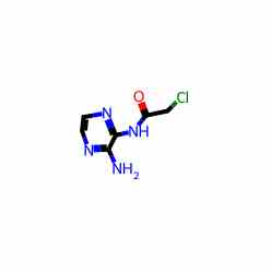 Nc1nccnc1NC(=O)CCl